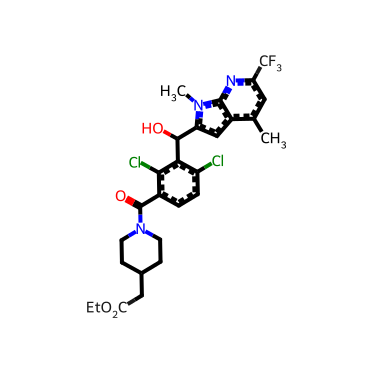 CCOC(=O)CC1CCN(C(=O)c2ccc(Cl)c(C(O)c3cc4c(C)cc(C(F)(F)F)nc4n3C)c2Cl)CC1